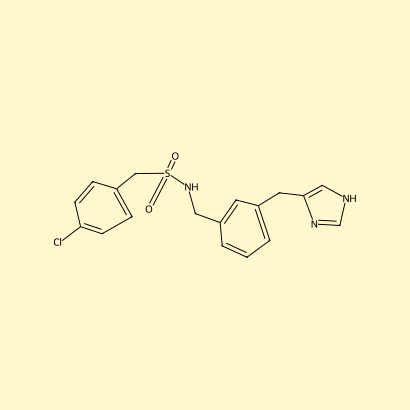 O=S(=O)(Cc1ccc(Cl)cc1)NCc1cccc(Cc2c[nH]cn2)c1